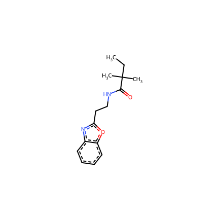 CCC(C)(C)C(=O)NCCc1nc2ccccc2o1